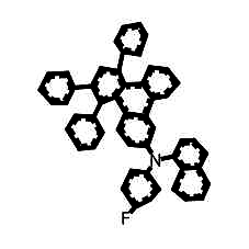 Fc1ccc(N(c2ccc3c(c2)c2ccccc2c2c(-c4ccccc4)cc(-c4ccccc4)c(-c4ccccc4)c32)c2cccc3ccccc23)cc1